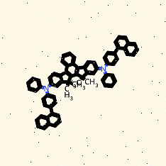 CC1(C)c2cc(N(c3ccccc3)c3ccc(-c4cccc5ccccc45)cc3)ccc2-c2c1c1c(c3ccccc23)-c2ccc(N(c3ccccc3)c3ccc(-c4cccc5ccccc45)cc3)cc2C1(C)C